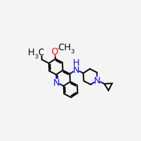 CCc1cc2nc3ccccc3c(NC3CCN(C4CC4)CC3)c2cc1OC